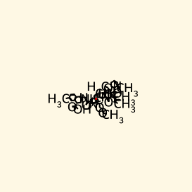 CCC(C)C(NC(=O)C1CCCCN1C)C(=O)N(CCOC)[C@H](C[C@@H](OCOC)c1nc(C(=O)N[C@H]2Cc3ccc(C)cc3[C@H](C(=O)O)C2)cs1)C(C)C